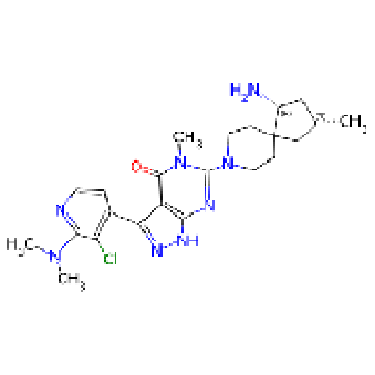 C[C@H]1C[C@@H](N)C2(CCN(c3nc4[nH]nc(-c5ccnc(N(C)C)c5Cl)c4c(=O)n3C)CC2)C1